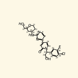 O=c1cc(-c2ccnc(N[C@@H]3CCO[C@H](CO)C3)n2)ccn1C(CO)c1ccc(Cl)c(F)c1